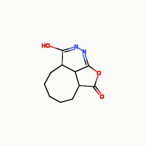 O=C1OC2=NN=C(O)C3CCCCCC1C23